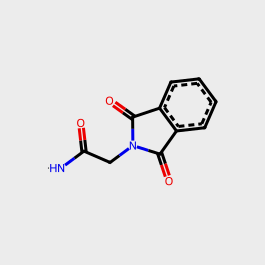 [NH]C(=O)CN1C(=O)c2ccccc2C1=O